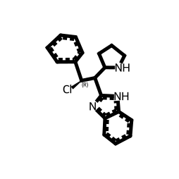 Cl[C@@H](c1ccccc1)C(c1nc2ccccc2[nH]1)C1CCCN1